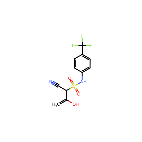 C=C(O)C(C#N)S(=O)(=O)Nc1ccc(C(F)(F)F)cc1